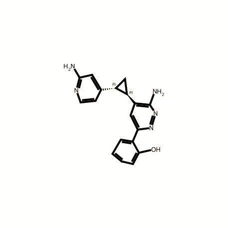 Nc1cc([C@@H]2C[C@H]2c2cc(-c3ccccc3O)nnc2N)ccn1